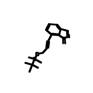 CC(C)(C)[Si](C)(C)OCC#Cc1cccc2cn[nH]c12